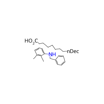 CCCCCCCCCCCCCCCCCC(=O)O.Cc1cccc(NCc2ccccc2)c1C